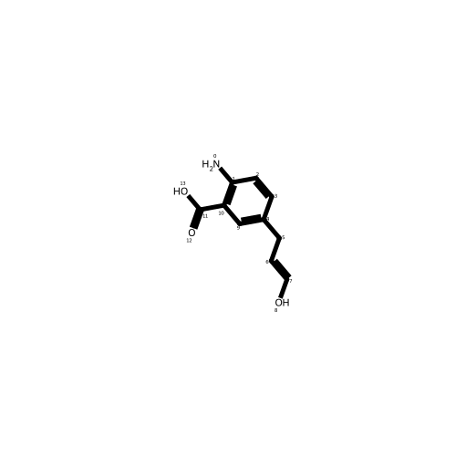 Nc1ccc(CC=CO)cc1C(=O)O